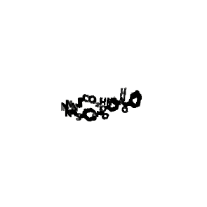 O=C(O)CCn1nnnc1SC1CCN(C(=O)Oc2ccc(NC(=O)c3ccccc3)cn2)CC1